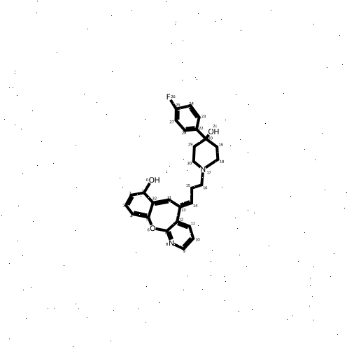 OC1C=CC=C2Oc3ncccc3C(=CCCN3CCC(O)(c4ccc(F)cc4)CC3)C=C21